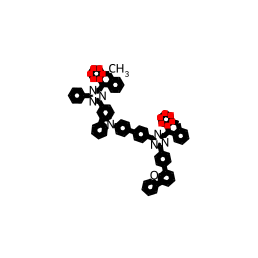 CC12c3ccccc3C(c3nc(-c4ccccc4)nc(-c4ccc5c(c4)c4ccccc4n5-c4ccc(-c5ccc(-c6nc(-c7ccc(-c8cccc9c8oc8ccccc89)cc7)nc(C78c9ccccc9C(c9ccccc97)c7ccccc78)n6)cc5)cc4)n3)(c3ccccc31)c1ccccc12